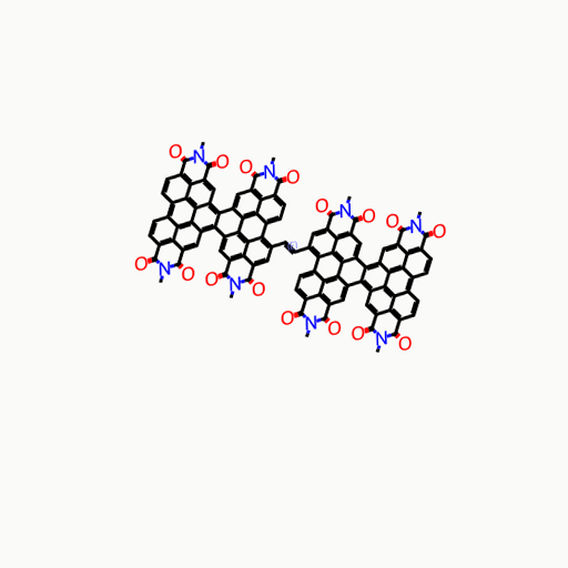 Cn1c(=O)c2ccc3c4ccc5c(=O)n(C)c(=O)c6cc7c8c9cc%10c(=O)n(C)c(=O)c%11cc(/C=C/c%12cc%13c(=O)n(C)c(=O)c%14cc%15c%16c%17cc%18c(=O)n(C)c(=O)c%19ccc%20c%21ccc%22c(=O)n(C)c(=O)c%23cc(c%16c%16cc%24c(=O)n(C)c(=O)c%25ccc%26c%12c(c%13%14)c%15c%16c%26c%25%24)c(c%21c%22%23)c%17c%20c%19%18)c%12c%13ccc%14c(=O)n(C)c(=O)c%15cc(c8c8cc(c1=O)c2c3c8c7c4c56)c(c%13c%14%15)c9c%12c%11%10